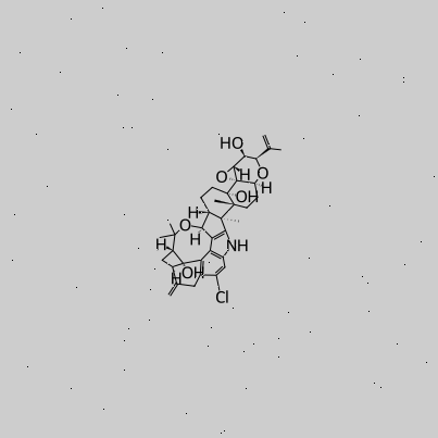 C=C(C)[C@H]1O[C@H]2CC[C@@]3(C)[C@@](O)(CC[C@H]4[C@@H]5OC(C)(C)[C@H]6C[C@@H]7C(=C)Cc8c(Cl)cc9[nH]c(c5c9c8[C@@]76O)[C@@]43C)[C@]23O[C@@H]3[C@H]1O